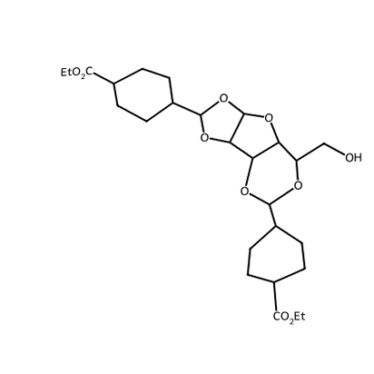 CCOC(=O)C1CCC(C2OC3OC4C(CO)OC(C5CCC(C(=O)OCC)CC5)OC4C3O2)CC1